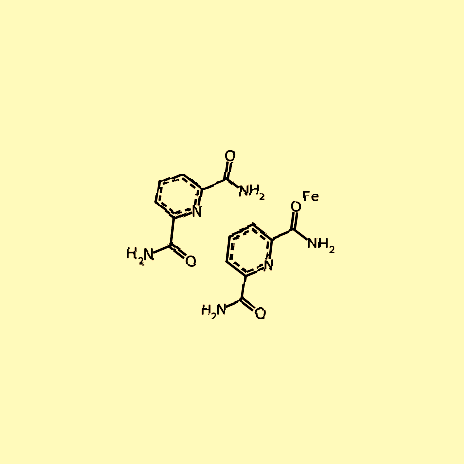 NC(=O)c1cccc(C(N)=O)n1.NC(=O)c1cccc(C(N)=O)n1.[Fe]